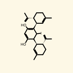 C=C(C)[C@@H]1CCC(C)=C[C@H]1C1=C(O)C=C(O)C([C@@H]2C=C(C)CC[C@H]2C(=C)C)C1I